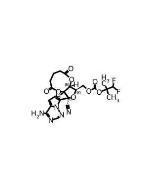 CC(C)(OC(=O)OC[C@H]1O[C@@](C#N)(c2ccc3c(N)ncnn23)[C@@H]2OC(=O)CCCC(=O)O[C@@H]21)C(F)F